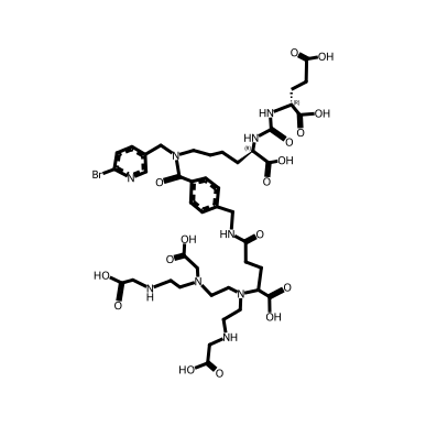 O=C(O)CC[C@@H](NC(=O)N[C@H](CCCCN(Cc1ccc(Br)nc1)C(=O)c1ccc(CNC(=O)CCC(C(=O)O)N(CCNCC(=O)O)CCN(CCNCC(=O)O)CC(=O)O)cc1)C(=O)O)C(=O)O